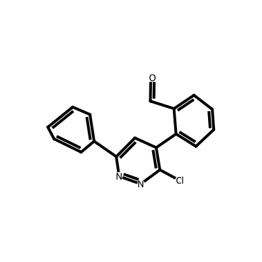 O=Cc1ccccc1-c1cc(-c2ccccc2)nnc1Cl